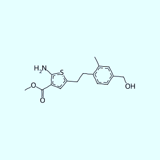 COC(=O)c1cc(CCc2ccc(CO)cc2C)sc1N